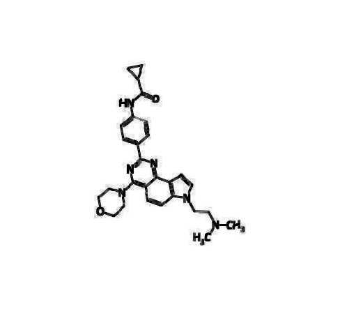 CN(C)CCn1ccc2c3nc(-c4ccc(NC(=O)C5CC5)cc4)nc(N4CCOCC4)c3ccc21